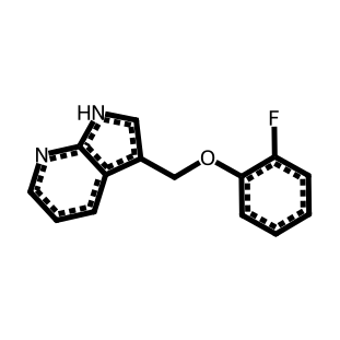 Fc1ccccc1OCc1c[nH]c2ncccc12